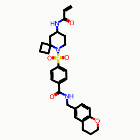 C=CC(=O)NC1CCN(S(=O)(=O)c2ccc(C(=O)NCc3ccc4c(c3)CCCO4)cc2)C2(CCC2)C1